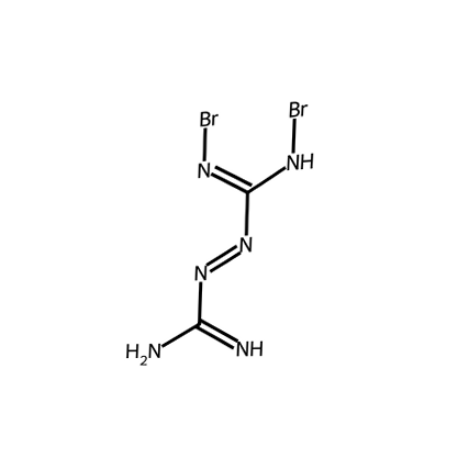 N=C(N)N=NC(=NBr)NBr